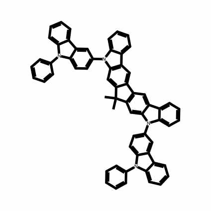 CC1(C)c2cc3c(cc2-c2cc4c5ccccc5n(-c5ccc6c(c5)c5ccccc5n6-c5ccccc5)c4cc21)c1ccccc1n3-c1ccc2c(c1)c1ccccc1n2-c1ccccc1